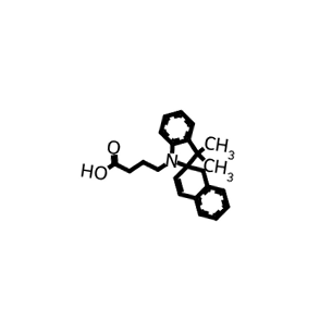 CC1(C)c2ccccc2N(CCCC(=O)O)C12C=Cc1ccccc1C2